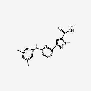 Cc1cc(C)cc(Nc2nccc(-c3cc(C(=O)NC(C)C)n(C)n3)n2)c1